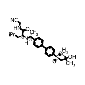 CC(C)C[C@H](N[C@@H](c1ccc(-c2ccc(S(=O)(=O)CC(C)(C)O)cc2)cc1)C(F)(F)F)C(=O)NCC#N